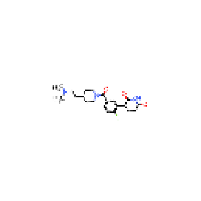 CN(C)CCC1CCN(C(=O)c2ccc(F)c(C3CCC(=O)NC3=O)c2)CC1